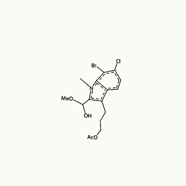 COC(O)c1c(CCCOC(C)=O)c2ccc(Cl)c(Br)c2n1C